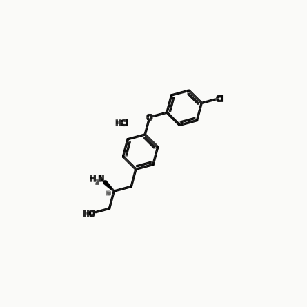 Cl.N[C@H](CO)Cc1ccc(Oc2ccc(Cl)cc2)cc1